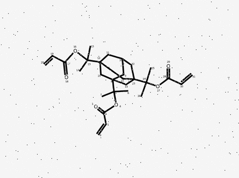 C=CC(=O)OC(C)(C)C12CC3CC(C(C)(C)OC(=O)C=C)(C1)CC(C(C)(C)OC(=O)C=C)(C3)C2